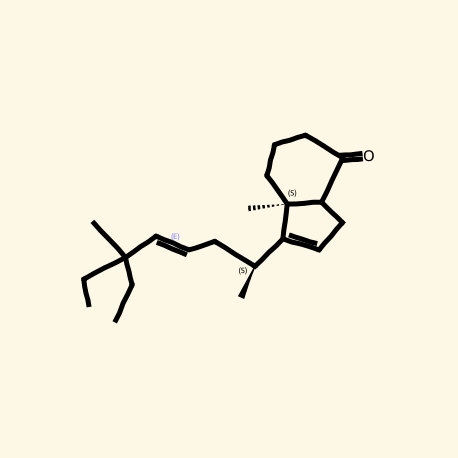 CCC(C)(/C=C/C[C@H](C)C1=CCC2C(=O)CCC[C@]12C)CC